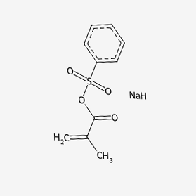 C=C(C)C(=O)OS(=O)(=O)c1ccccc1.[NaH]